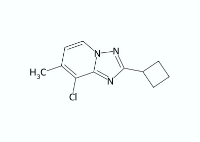 Cc1ccn2nc(C3CCC3)nc2c1Cl